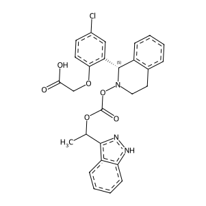 CC(OC(=O)ON1CCc2ccccc2[C@H]1c1cc(Cl)ccc1OCC(=O)O)c1n[nH]c2ccccc12